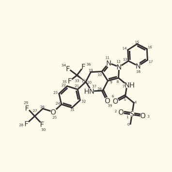 CS(=O)(=O)CC(=O)Nc1c2c(nn1-c1ccccn1)C[C@](c1ccc(OCC(F)(F)F)cc1)(C(F)(F)F)NC2=O